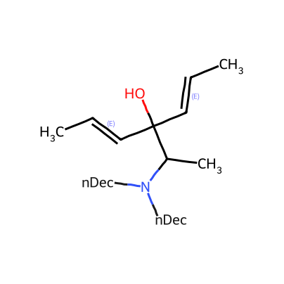 C/C=C/C(O)(/C=C/C)C(C)N(CCCCCCCCCC)CCCCCCCCCC